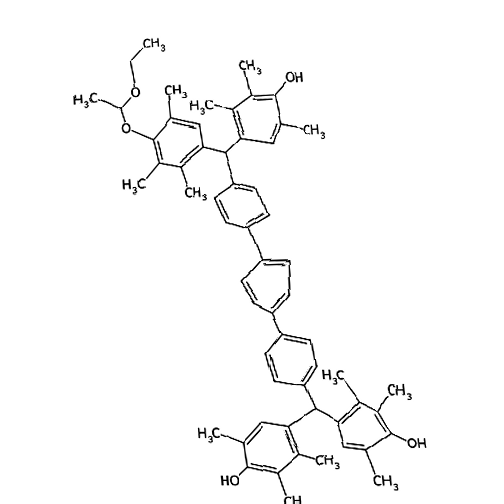 CCOC(C)Oc1c(C)cc(C(c2ccc(-c3ccc(-c4ccc(C(c5cc(C)c(O)c(C)c5C)c5cc(C)c(O)c(C)c5C)cc4)cc3)cc2)c2cc(C)c(O)c(C)c2C)c(C)c1C